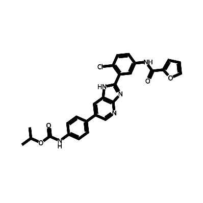 CC(C)OC(=O)Nc1ccc(-c2cnc3nc(-c4cc(NC(=O)c5ccco5)ccc4Cl)[nH]c3c2)cc1